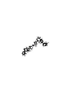 C1=C(c2ccc(/C=C/c3ccc(-c4nc5ccc(-c6ccccc6)cc5o4)cc3)cc2)Oc2cc(-c3ccccc3)ccc2CC1